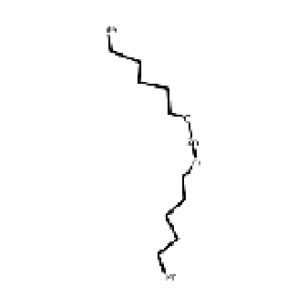 CC(C)CCCCC[O][Zn][O]CCCCCC(C)C